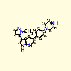 Cn1nccc1-c1c[nH]c2ncc(-c3ccc(N4CCNCC4)cc3)cc12